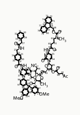 COc1ccc(C(OC[C@@H](OCn2cnc3c(NC(=O)c4ccc(CNC(=O)Cc5ccccc5)cc4)ncnc32)C(C)OP(OCCC#N)OC[C@H]2O[C@@H](n3ccc(NC(=O)CCCN(C)C(=O)OCC4c5ccccc5-c5ccccc54)nc3=O)CC2OC(=O)CCC(C)=O)(c2ccccc2)c2ccc(OC)cc2)cc1